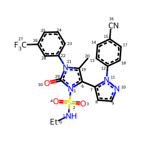 CCNS(=O)(=O)n1c(-c2ccnn2-c2ccc(C#N)cc2)c(C)n(-c2cccc(C(F)(F)F)c2)c1=O